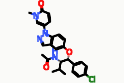 CC(=O)N[C@@H](C(C)C)[C@H](Oc1ccc2c(cnn2-c2ccc(=O)n(C)c2)c1)c1ccc(Cl)cc1